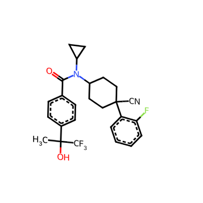 CC(O)(c1ccc(C(=O)N(C2CC2)C2CCC(C#N)(c3ccccc3F)CC2)cc1)C(F)(F)F